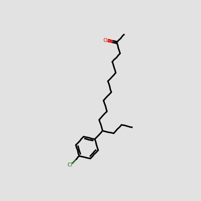 CCCC(CCCCCCCCC(C)=O)c1ccc(Cl)cc1